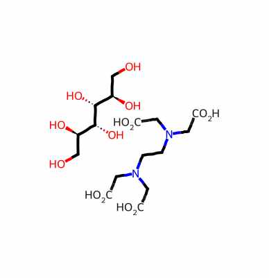 O=C(O)CN(CCN(CC(=O)O)CC(=O)O)CC(=O)O.OC[C@@H](O)[C@@H](O)[C@H](O)[C@H](O)CO